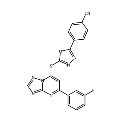 N#Cc1ccc(-c2nnc(Sc3cc(-c4cccc(F)c4)nc4ncnn34)o2)cc1